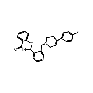 O=C1NC(c2ccccc2CN2CC=C(c3ccc(F)cc3)CC2)Oc2ccccc21